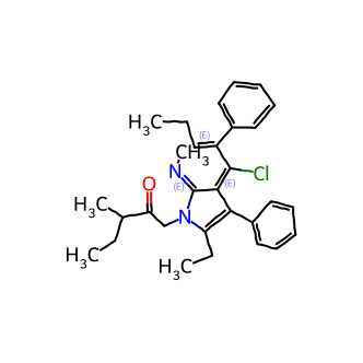 CC/C=C(/C(Cl)=C1/C(c2ccccc2)=C(CC)N(CC(=O)C(C)CC)/C1=N/C)c1ccccc1